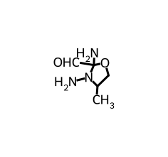 CC1COC(N)(C=O)N1N